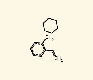 C1CCCCC1.C=Cc1ccccc1C